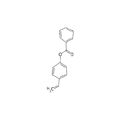 C=Cc1ccc(OC(=O)c2ccccc2)cc1